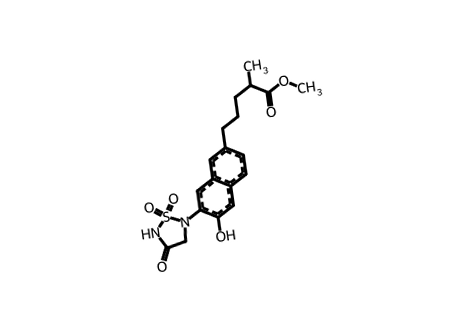 COC(=O)C(C)CCCc1ccc2cc(O)c(N3CC(=O)NS3(=O)=O)cc2c1